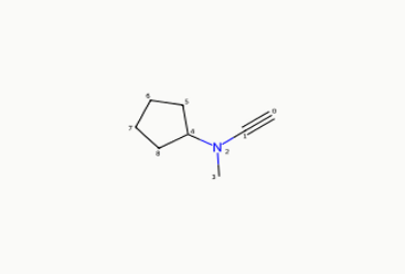 C#CN(C)C1CCCC1